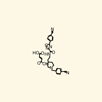 N#Cc1ccc(CN2CCC(CCNC(=O)c3noc(-c4ccc(C#N)cc4)n3)CC2)cc1.O=C(O)C=CC(=O)O